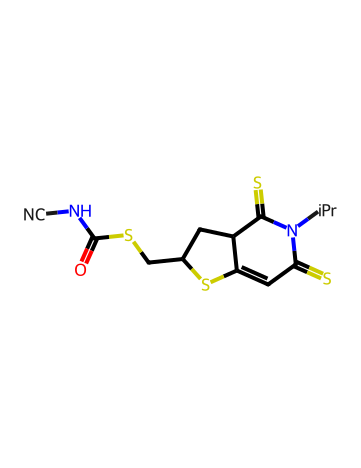 CC(C)N1C(=S)C=C2SC(CSC(=O)NC#N)CC2C1=S